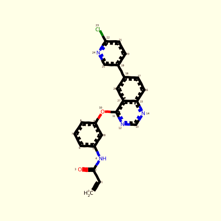 C=CC(=O)Nc1cccc(Oc2ncnc3ccc(-c4ccc(Cl)nc4)cc23)c1